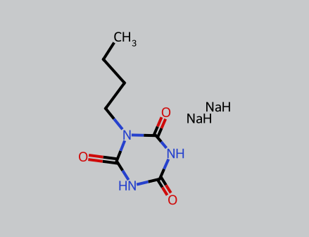 CCCCn1c(=O)[nH]c(=O)[nH]c1=O.[NaH].[NaH]